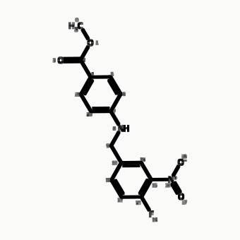 COC(=O)c1ccc(NCc2ccc(F)c([N+](=O)[O-])c2)cc1